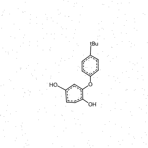 CC(C)(C)c1ccc(Oc2cc(O)ccc2O)cc1